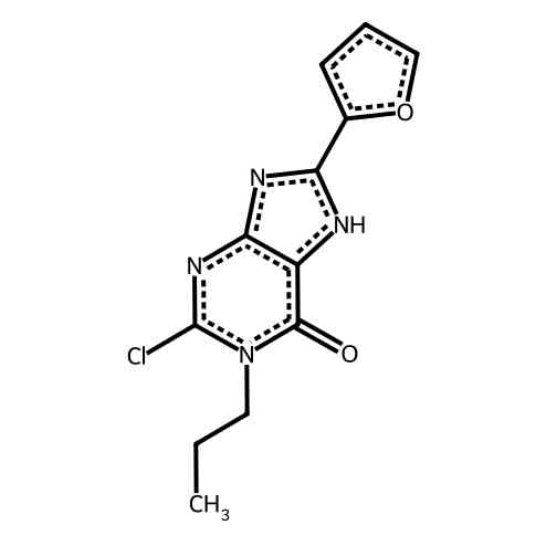 CCCn1c(Cl)nc2nc(-c3ccco3)[nH]c2c1=O